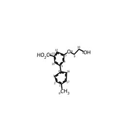 Cc1ccc(-c2cc(OCCO)cc(C(=O)O)c2)cc1